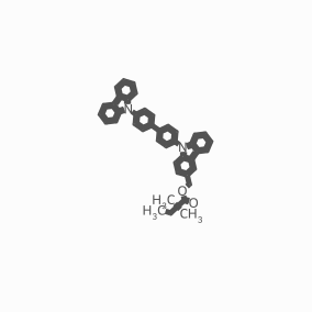 CCC(C)(C)C(=O)OCc1ccc2c(c1)c1ccccc1n2-c1ccc(-c2ccc(-n3c4ccccc4c4ccccc43)cc2)cc1